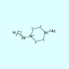 C=NN1CCN(C(C)=O)CC1